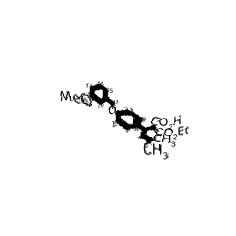 CCOC(=O)C(C(=O)O)C(C=C(C)C)c1ccc(OCc2cccc(OC)c2)cc1